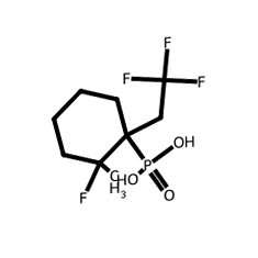 CC1(F)CCCCC1(CC(F)(F)F)P(=O)(O)O